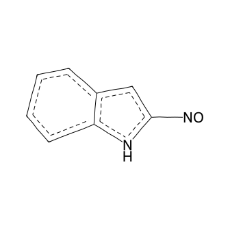 O=Nc1cc2ccccc2[nH]1